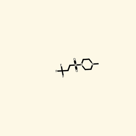 CN1CCN(S(=O)(=O)CCC(F)(F)F)CC1